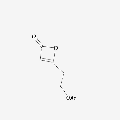 CC(=O)OCCC1=CC(=O)O1